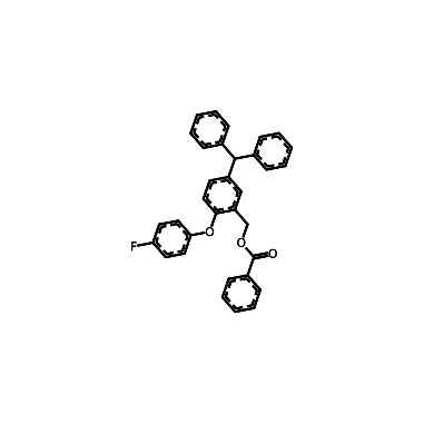 O=C(OCc1cc(C(c2ccccc2)c2ccccc2)ccc1Oc1ccc(F)cc1)c1ccccc1